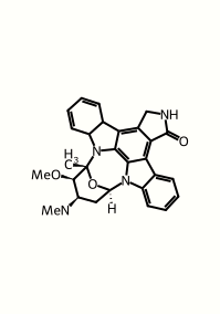 CN[C@@H]1C[C@H]2O[C@](C)([C@@H]1OC)N1c3c(c4c(c5c6ccccc6n2c35)C(=O)NC4)C2C=CC=CC21